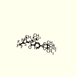 CCS(=O)(=O)c1cc(B2OC(C)(C)C(C)(C)O2)cnc1C(=O)N=c1sc(C(F)(F)F)nn1C